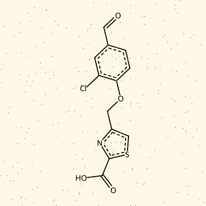 O=Cc1ccc(OCc2csc(C(=O)O)n2)c(Cl)c1